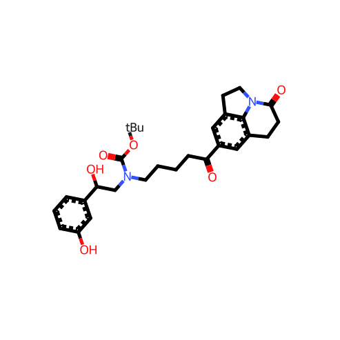 CC(C)(C)OC(=O)N(CCCCC(=O)c1cc2c3c(c1)CCN3C(=O)CC2)CC(O)c1cccc(O)c1